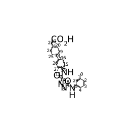 Cc1cccc(Nc2nnc(C(=O)Nc3ccc([C@H]4CC[C@H](CC(=O)O)CC4)cc3)o2)c1